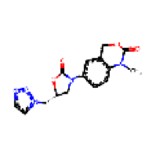 CN1C(=O)OCc2cc(N3C[C@H](Cn4ccnn4)OC3=O)ccc21